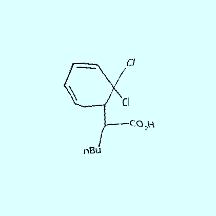 CCCCC(C(=O)O)C1C=CC=CC1(Cl)Cl